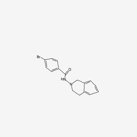 O=C(NN1CCc2ccccc2C1)c1ccc(Br)cc1